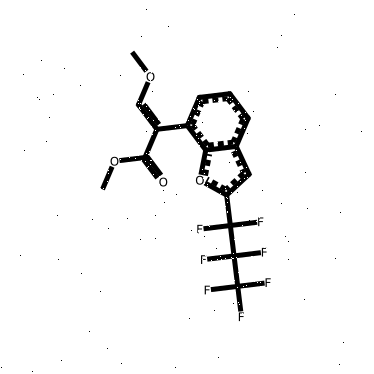 CO/C=C(/C(=O)OC)c1cccc2cc(C(F)(F)C(F)(F)C(F)(F)F)oc12